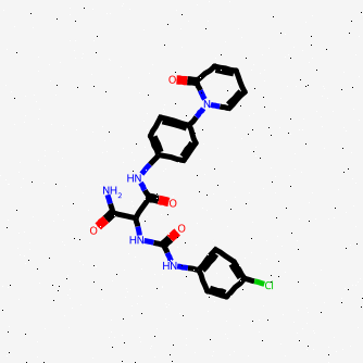 NC(=O)C(NC(=O)Nc1ccc(Cl)cc1)C(=O)Nc1ccc(-n2ccccc2=O)cc1